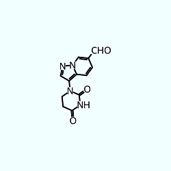 O=Cc1ccc2c(N3CCC(=O)NC3=O)cnn2c1